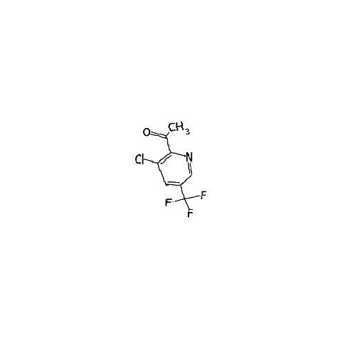 CC(=O)c1ncc(C(F)(F)F)cc1Cl